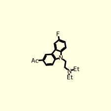 CCN(CC)CCn1c2ccc(F)cc2c2cc(C(C)=O)ccc21